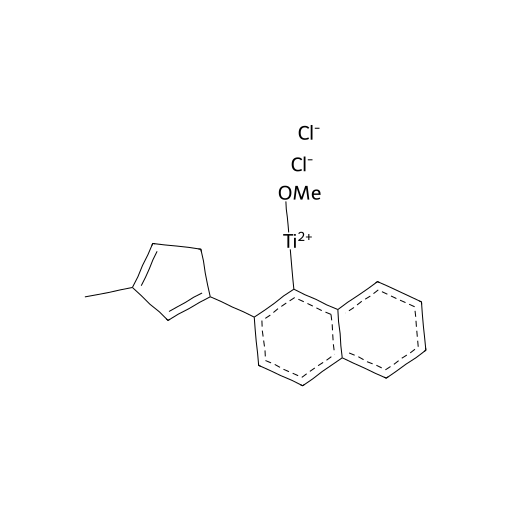 C[O][Ti+2][c]1c(C2=CC(C)=CC2)ccc2ccccc12.[Cl-].[Cl-]